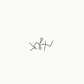 CCC(C)(C)S(=O)(=O)C[Si](C)(C)C